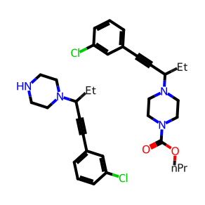 CCC(C#Cc1cccc(Cl)c1)N1CCNCC1.CCCOC(=O)N1CCN(C(C#Cc2cccc(Cl)c2)CC)CC1